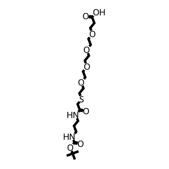 CC(C)(C)OC(=O)NCCCNC(=O)CSCCOCCOCCOCCOCCC(=O)O